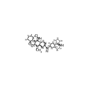 Cn1c(=O)n(-c2c(Cl)cccc2Cl)c(=N)c2cnc(Nc3ccc4c(c3)CCNC43CCC3)nc21